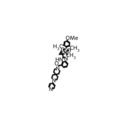 COc1cc(C)c(S(=O)(=O)N(C)C2(c3nc4cccc(C(=O)N5CCC6(CC5)CCN(c5ccncc5)CC6)c4[nH]3)CC2)c(C)c1